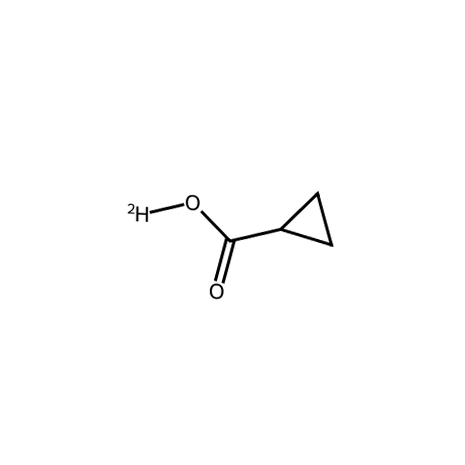 [2H]OC(=O)C1CC1